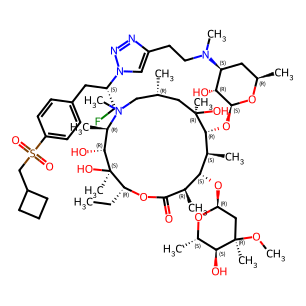 CC[C@H]1OC(=O)[C@H](C)[C@@H](O[C@H]2C[C@@](C)(OC)[C@@H](O)[C@H](C)O2)[C@H](C)[C@@H](O[C@@H]2O[C@H](C)C[C@H](N(C)CCc3cn([C@H](CF)Cc4ccc(S(=O)(=O)CC5CCC5)cc4)nn3)[C@H]2O)[C@](C)(O)C[C@@H](C)CN(C)[C@H](C)[C@@H](O)[C@]1(C)O